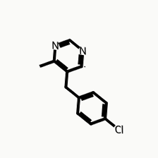 Cc1ncn[c]c1Cc1ccc(Cl)cc1